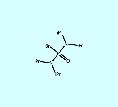 CC(C)N(C(C)C)P(=O)(Br)N(C(C)C)C(C)C